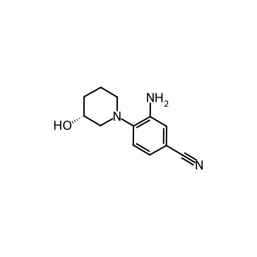 N#Cc1ccc(N2CCC[C@@H](O)C2)c(N)c1